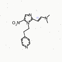 CN(C)/C=C/c1ncc([N+](=O)[O-])n1CCc1ccncc1